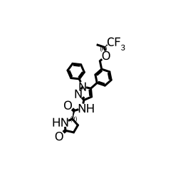 C[C@@H](OCc1cccc(-c2cc(NC(=O)[C@H]3CCC(=O)N3)nn2-c2ccccc2)c1)C(F)(F)F